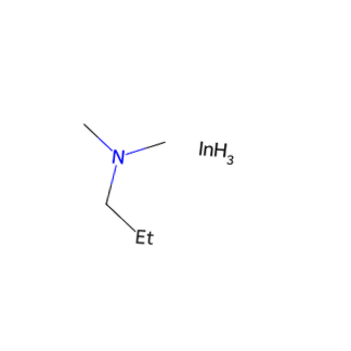 [CH2]CCN(C)C.[InH3]